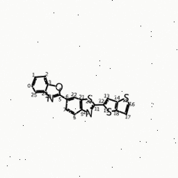 c1ccc2oc(-c3ccc4nc(-c5cc6sccc6s5)sc4c3)nc2c1